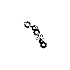 O=S(=O)(c1cc2ccccc2o1)N1CCC2(CC1)CC(N1CCOCC1)CO2